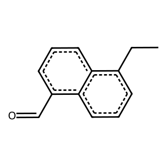 CCc1cccc2c(C=O)cccc12